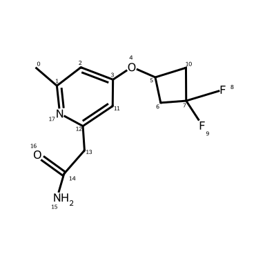 Cc1cc(OC2CC(F)(F)C2)cc(CC(N)=O)n1